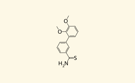 COc1cccc(-c2cccc(C(N)=S)c2)c1OC